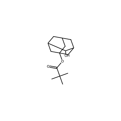 CC(C)(C)C(=O)OC12CC3CC(C1)C(O)C(C3)C2